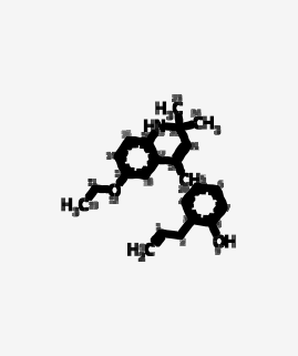 C=CCc1ccccc1O.CCOc1ccc2c(c1)C(C)=CC(C)(C)N2